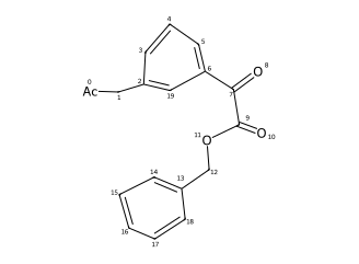 CC(=O)Cc1cccc(C(=O)C(=O)OCc2ccccc2)c1